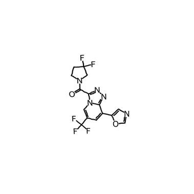 O=C(c1nnc2c(-c3cnco3)cc(C(F)(F)F)cn12)N1CCC(F)(F)C1